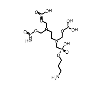 NCCCOP(=O)(O)CN(CCN(CO[PH](=O)O)CO[PH](=O)O)COP(O)O